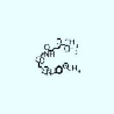 COc1ccc(CN2CCN(CC3CCC(CNC(=O)CCCC(=O)C(C)C)O3)CC2)cc1